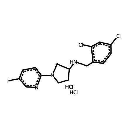 Cl.Cl.Clc1ccc(CNC2CCN(c3ccc(I)cn3)C2)c(Cl)c1